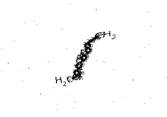 C=CCOc1ccc(-c2ccc(-c3ccc(C4CCc5cc(CCCCC)ccc5C4)c(F)c3F)cc2)c(F)c1F